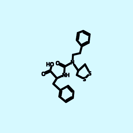 O=C(O)C(Cc1ccccc1)NC(=O)N(CCc1ccccc1)C1CSSC1